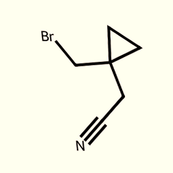 N#CCC1(CBr)CC1